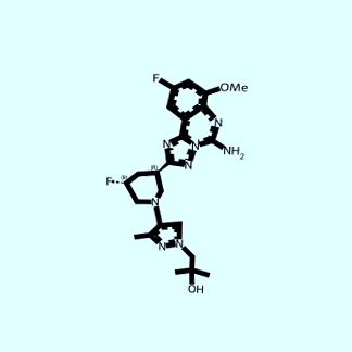 COc1cc(F)cc2c1nc(N)n1nc([C@@H]3C[C@@H](F)CN(c4cn(CC(C)(C)O)nc4C)C3)nc21